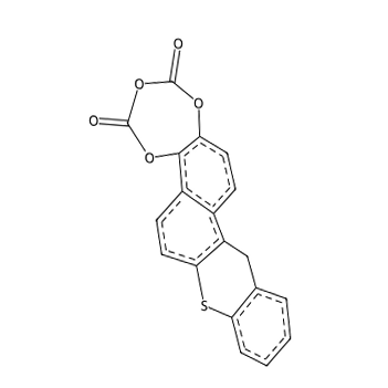 O=C1OC(=O)Oc2c(ccc3c4c(ccc23)Sc2ccccc2C4)O1